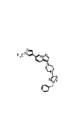 Cn1cc(-c2ccc3c(N4CCN(c5nnn(Cc6ccccc6)n5)CC4)cnn3c2)cn1